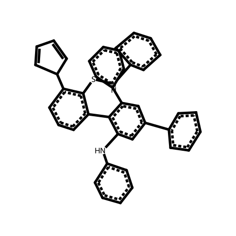 C1=CC(c2cccc(-c3c(Nc4ccccc4)cc(-c4ccccc4)cc3-c3ccccc3)c2SNc2ccccc2)C=C1